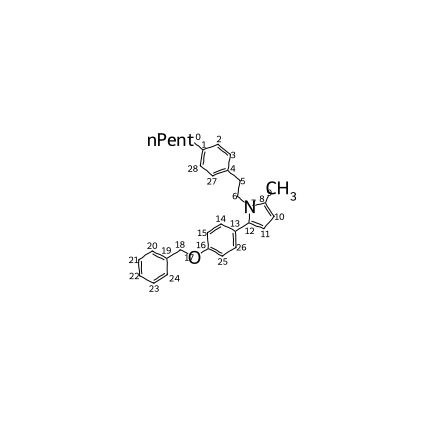 CCCCCc1ccc(CCn2c(C)ccc2-c2ccc(OCc3ccccc3)cc2)cc1